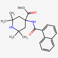 COC(=O)C1(NC(=O)c2cccc3ccccc23)CC(C)(C)NC(C)(C)C1